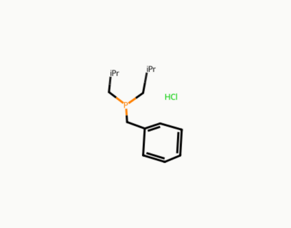 CC(C)CP(Cc1ccccc1)CC(C)C.Cl